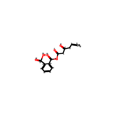 C=CCC(=O)CC(=O)OC(=O)c1ccccc1C(=O)O